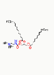 CCCCCCCCC=CCCCCCCCC(=O)OCC(COC(=O)NCCN(CCC)CCC)OC(=O)CCCCCCCC=CCCCCCCCC